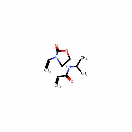 C=CC(=O)NC(C)C.C=CN1CCOC1=O